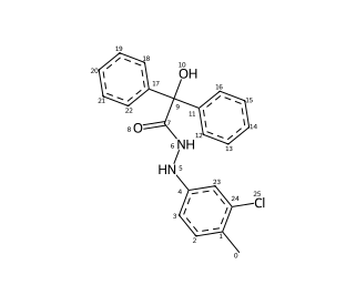 Cc1ccc(NNC(=O)C(O)(c2ccccc2)c2ccccc2)cc1Cl